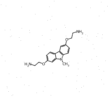 Cn1c2ccc(OCCN)cc2c2ccc(OCCN)cc21